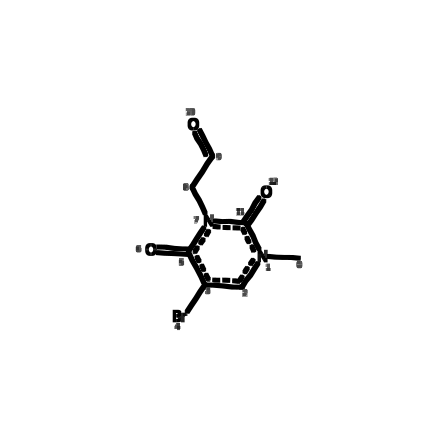 Cn1cc(Br)c(=O)n(CC=O)c1=O